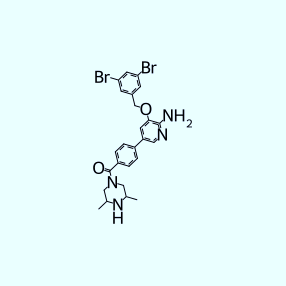 CC1CN(C(=O)c2ccc(-c3cnc(N)c(OCc4cc(Br)cc(Br)c4)c3)cc2)CC(C)N1